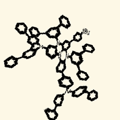 CC(C)(C)c1ccc(-c2cc3c4c(c2)N(c2cc(-c5ccccc5)cc(-c5ccccc5)c2)c2cc(-n5c6ccc(-c7ccccc7)cc6c6cc(-c7ccccc7)ccc65)ccc2B4c2ccc(-c4ccc(N(c5ccc(-c6ccccc6)cc5)c5ccc(-c6ccccc6)cc5)cc4)cc2N3c2cc(-c3ccccc3)cc(-c3ccccc3)c2)cc1